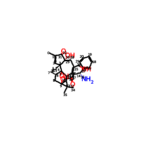 CC1=C[C@H]2[C@@]3(O)[C@H](C)C[C@]4(OC(=O)C[C@@H](N)c5ccccc5)C([C@@H]3C=C(CO)C[C@]2(O)C1=O)C4(C)C